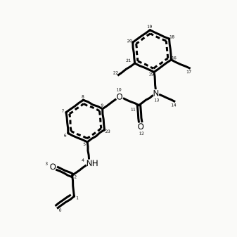 C=CC(=O)Nc1cccc(OC(=O)N(C)c2c(C)cccc2C)c1